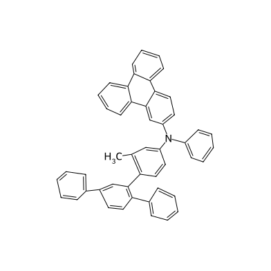 Cc1cc(N(c2ccccc2)c2ccc3c4ccccc4c4ccccc4c3c2)ccc1-c1cc(-c2ccccc2)ccc1-c1ccccc1